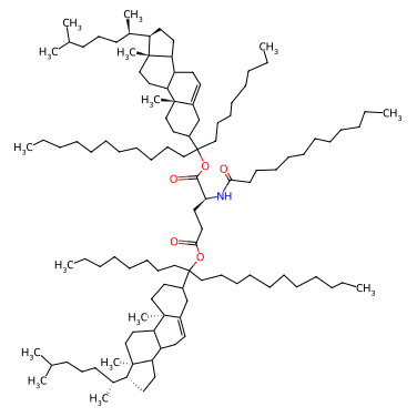 CCCCCCCCCCCC(=O)N[C@@H](CCC(=O)OC(CCCCCCCC)(CCCCCCCCCCC)C1CC[C@@]2(C)C(=CCC3C2CC[C@@]2(C)C3CC[C@@H]2[C@H](C)CCCC(C)C)C1)C(=O)OC(CCCCCCCC)(CCCCCCCCCCC)C1CC[C@@]2(C)C(=CCC3C2CC[C@@]2(C)C3CC[C@@H]2[C@H](C)CCCC(C)C)C1